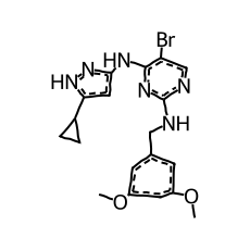 COc1cc(CNc2ncc(Br)c(Nc3cc(C4CC4)[nH]n3)n2)cc(OC)c1